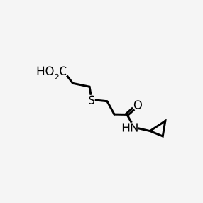 O=C(O)CCSCCC(=O)NC1CC1